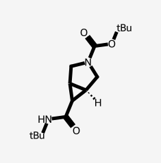 CC(C)(C)NC(=O)C1C2CN(C(=O)OC(C)(C)C)C[C@H]21